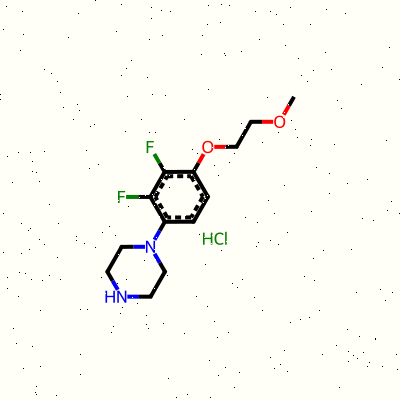 COCCOc1ccc(N2CCNCC2)c(F)c1F.Cl